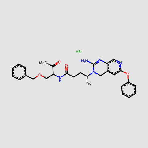 Br.COC(=O)C(COCc1ccccc1)NC(=O)CC[C@@H](C(C)C)N1Cc2cc(Oc3ccccc3)ncc2N=C1N